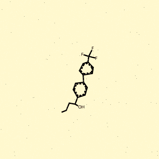 CCCC(O)c1ccc(-c2ccc(C(F)(F)F)cc2)cc1